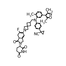 Cc1ccc(-c2c(C)noc2C)cc1N(CC1CC2(C1)CN(C1=C(F)CC3C(=O)N(C4CCC(=O)NC4=O)CC3=C1)C2)c1ccc(C2(C#N)CC2)cc1